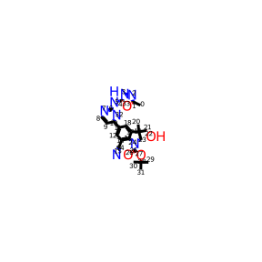 Cc1nnc(Nc2nccc(-c3cc(C#N)c4c(c3)C(C)(CO)CN4C(=O)OC(C)(C)C)n2)o1